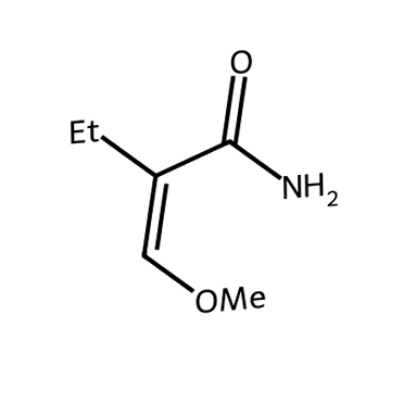 CCC(=COC)C(N)=O